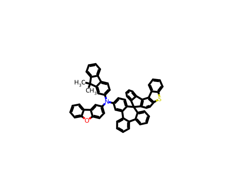 CC1(C)c2ccccc2-c2ccc(N(c3ccc4c(c3)-c3ccccc3-c3ccccc3C43c4ccccc4-c4c3ccc3sc5ccccc5c43)c3ccc4oc5ccccc5c4c3)cc21